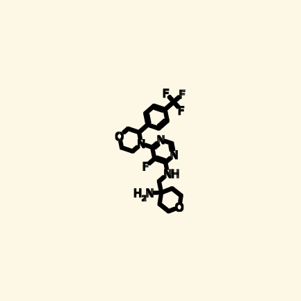 NC1(CNc2ncnc(N3CCOCC3c3ccc(C(F)(F)F)cc3)c2F)CCOCC1